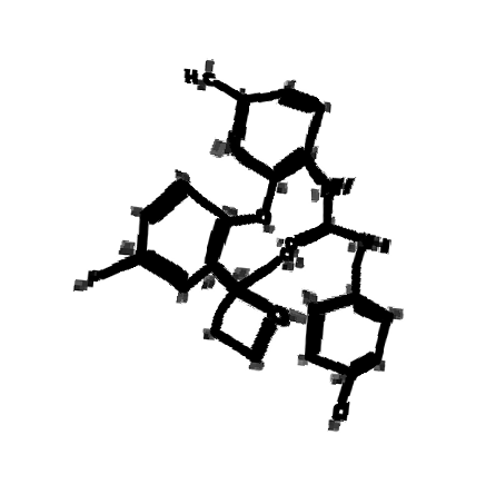 Cc1ccc(NC(=O)Nc2ccc(Cl)cc2)c(Oc2ccc(F)cc2C2(C(F)(F)F)CCO2)n1